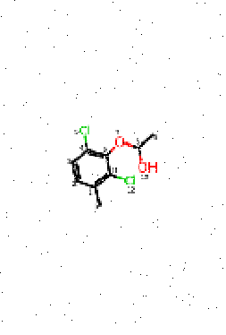 Cc1ccc(Cl)c(OC(C)O)c1Cl